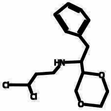 ClC(Cl)CCNC(Cc1ccccc1)C1COCCO1